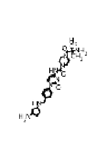 CC(C)(N)C(=O)N1CCN(C(=O)Nc2ccn(-c3ccc(CN[C@H]4CCC(N)C4)cc3)c(=O)n2)CC1